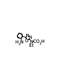 CCN(C(=O)O)c1nnc(-c2ccccc2N)o1